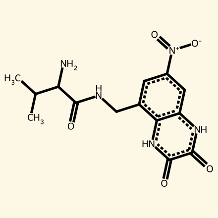 CC(C)C(N)C(=O)NCc1cc([N+](=O)[O-])cc2[nH]c(=O)c(=O)[nH]c12